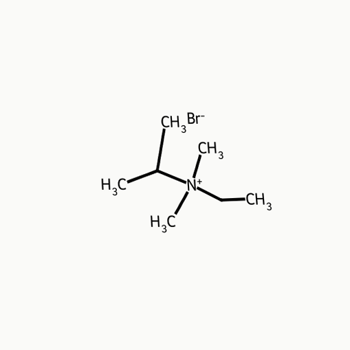 CC[N+](C)(C)C(C)C.[Br-]